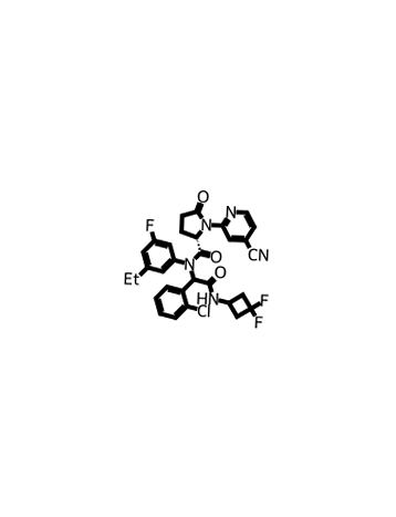 CCc1cc(F)cc(N(C(=O)[C@@H]2CCC(=O)N2c2cc(C#N)ccn2)C(C(=O)NC2CC(F)(F)C2)c2ccccc2Cl)c1